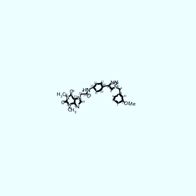 COc1cccc(Cn2cc(-c3ccc(NC(=O)Cn4cnc5c4c(=O)n(C)c(=O)n5C)cc3)nn2)c1